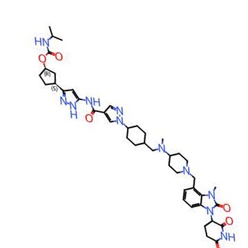 CC(C)NC(=O)O[C@@H]1CC[C@H](c2cc(NC(=O)c3cnn(C4CCC(CN(C)C5CCN(Cc6cccc7c6n(C)c(=O)n7C6CCC(=O)NC6=O)CC5)CC4)c3)[nH]n2)C1